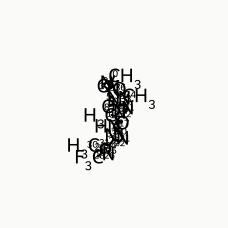 Cc1noc(Cn2c(=O)c3c(ncn3C(C)C(=O)Nc3cncc(-c4cnc(C(F)(F)F)c(C)c4)n3)n(C)c2=O)n1